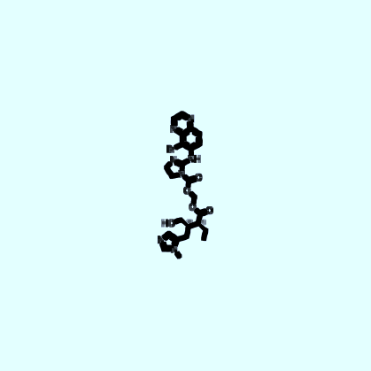 CC[C@H](C(=O)OCOC(=O)N1CCN=C1Nc1ccc2nccnc2c1Br)[C@H](CO)Cc1cncn1C